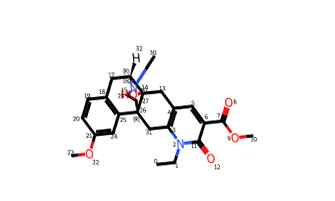 CCn1c2c(cc(C(=O)OC)c1=O)C[C@@]1(O)[C@H]3Cc4ccc(OC)cc4[C@@]1(CCN3C)C2